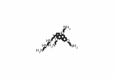 C[C@H](CCCNCCCNCCCN)C1CC[C@H]2C3C(C[C@H](OCCCN)C12C)C1(C)CC[C@@H](OCCCN)CC1C[C@H]3OCCCN